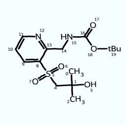 CC(C)(O)CS(=O)(=O)c1cccnc1CNC(=O)OC(C)(C)C